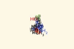 CS(=O)(=O)c1c(C2C[C@H]3CC[C@@H](C2)N3C(=O)c2cc[nH]n2)nc2c(-c3ccc(C(O)C(F)(F)F)nc3)cnn2c1N